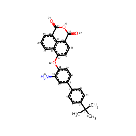 CC(C)(C)c1ccc(-c2ccc(Oc3ccc4c5c(cccc35)C(=O)OC4=O)c(N)c2)cc1